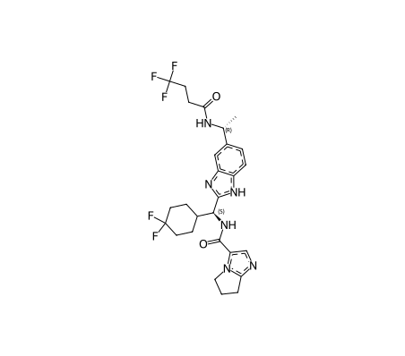 C[C@@H](NC(=O)CCC(F)(F)F)c1ccc2[nH]c([C@@H](NC(=O)c3cnc4n3CCC4)C3CCC(F)(F)CC3)nc2c1